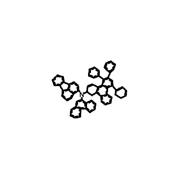 C1=CCCC(c2cc(-c3ccccc3)c(-c3ccccc3)c3c4c(c5ccccc5c23)CC(N(c2ccc3c5c(cccc25)-c2ccccc2-3)c2cc3ccccc3c3ccccc23)C=C4)=C1